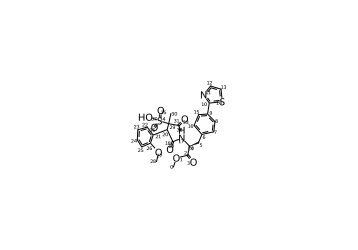 COC(=O)[C@H](Cc1ccc(-c2nccs2)cc1)NC(=O)C(c1ccccc1OC)C(C)(C(C)=O)S(=O)(=O)O